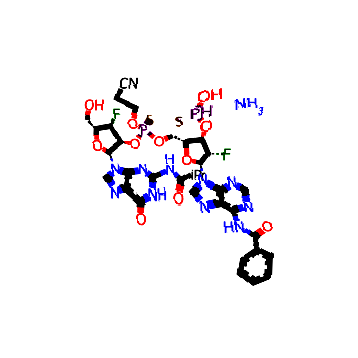 CC(C)C(=O)Nc1nc2c(ncn2[C@@H]2O[C@H](CO)[C@@H](F)[C@H]2OP(=S)(OCCC#N)OC[C@H]2O[C@@H](n3cnc4c(NC(=O)c5ccccc5)ncnc43)[C@@H](F)[C@@H]2O[PH](O)=S)c(=O)[nH]1.N